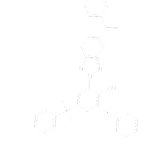 CC(c1ccccc1)c1ccc2nn(-c3cc(C(C)(C)c4ccccc4)cc(C(C)(C)c4ccccc4)c3O)nc2c1